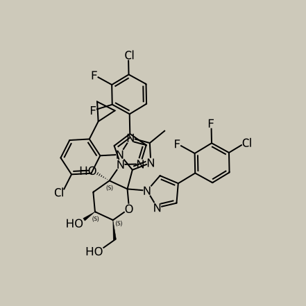 Cc1nc(C2(n3cc(-c4ccc(Cl)c(F)c4F)cn3)O[C@@H](CO)[C@@H](O)C[C@@]2(O)n2cc(-c3ccc(Cl)c(F)c3F)cn2)n(-c2cc(Cl)ccc2C2CC2)n1